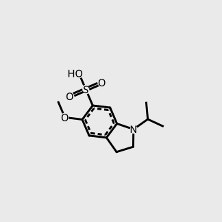 COc1cc2c(cc1S(=O)(=O)O)N(C(C)C)CC2